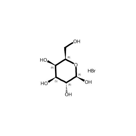 Br.OC[C@H]1O[C@@H](O)[C@H](O)[C@@H](O)[C@H]1O